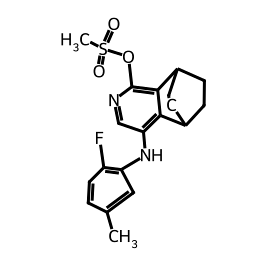 Cc1ccc(F)c(Nc2cnc(OS(C)(=O)=O)c3c2C2CCC3CC2)c1